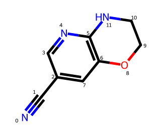 N#Cc1cnc2c(c1)OCCN2